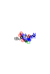 COc1c(NC(=O)c2ccc(Cl)c(-n3cc(C(=O)NCc4cccnc4)nn3)c2)cc(C(C)(C)C)cc1NS(C)(=O)=O